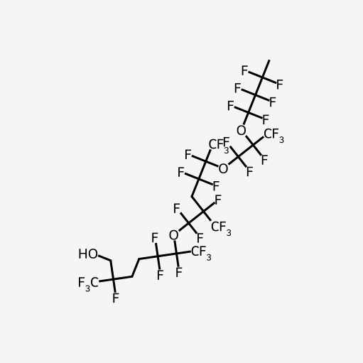 CC(F)(F)C(F)(F)C(F)(F)OC(F)(C(F)(F)F)C(F)(F)OC(F)(C(F)(F)F)C(F)(F)CC(F)(C(F)(F)F)C(F)(F)OC(F)(C(F)(F)F)C(F)(F)CCC(F)(CO)C(F)(F)F